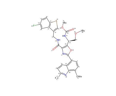 COc1ccc(-c2nc(C(=O)NCc3csc4ccc(F)cc34)c([C@H](COC(C)(C)C)NC(=O)OC(C)(C)C)o2)c2ccc(C(F)(F)F)nc12